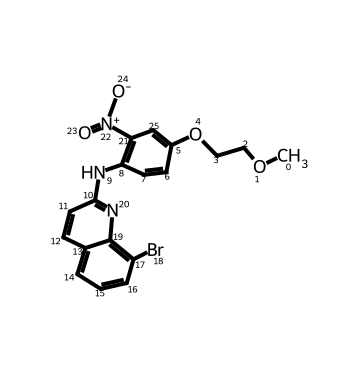 COCCOc1ccc(Nc2ccc3cccc(Br)c3n2)c([N+](=O)[O-])c1